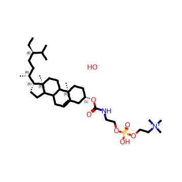 CC[C@H](CC[C@@H](C)[C@H]1CCC2C3CC=C4C[C@@H](OC(=O)NCCOP(=O)(O)OCC[N+](C)(C)C)CC[C@]4(C)C3CC[C@@]21C)C(C)C.[OH-]